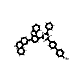 CCCCc1ccc(-c2ccc(-c3nc(-c4ccccc4)nc(-c4ccc(C5=Cc6c(ccc7ccccc67)CC5)c5oc6ccccc6c45)n3)cc2)cc1